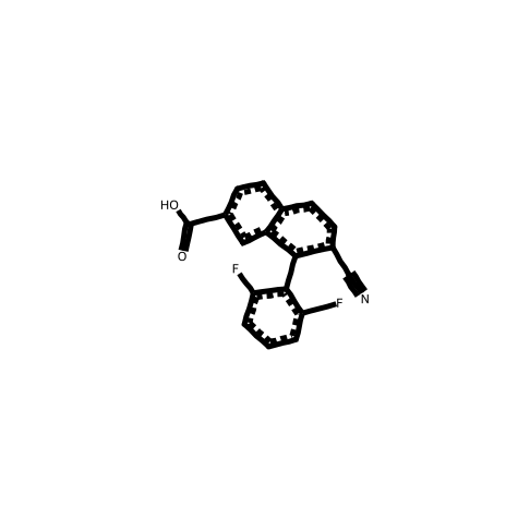 N#Cc1ccc2ccc(C(=O)O)cc2c1-c1c(F)cccc1F